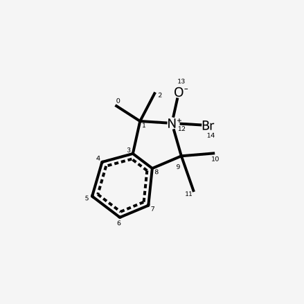 CC1(C)c2ccccc2C(C)(C)[N+]1([O-])Br